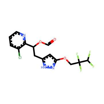 O=COC(Cc1cc(OCC(F)(F)C(F)F)n[nH]1)c1ncccc1Cl